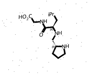 CC(C)C[C@@H](NC[C@H]1CCCN1)C(=O)NCC(=O)O